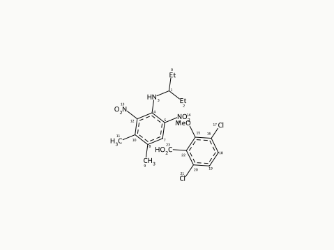 CCC(CC)Nc1c([N+](=O)[O-])cc(C)c(C)c1[N+](=O)[O-].COc1c(Cl)ccc(Cl)c1C(=O)O